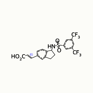 O=C(O)/C=C/c1ccc2c(c1)CCC2NS(=O)(=O)c1cc(C(F)(F)F)cc(C(F)(F)F)c1